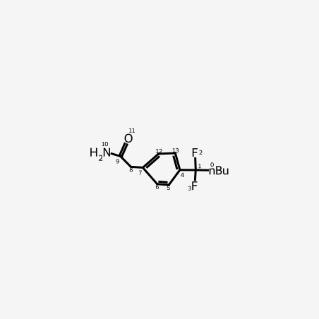 CCCCC(F)(F)c1ccc(CC(N)=O)cc1